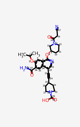 CC(C)Oc1cc2c(O[C@@H]3CCCN(C(=O)CC#N)C3)ncc(C#CC3CCN(C(=O)O)CC3)c2cc1C(N)=O